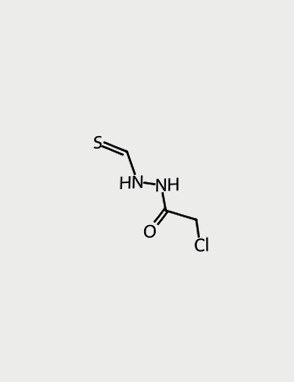 O=C(CCl)NNC=S